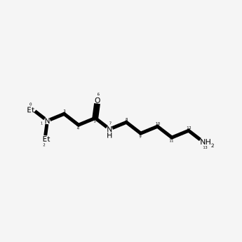 CCN(CC)CCC(=O)NCCCCCN